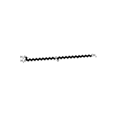 CCCCCCCCC=CCCCCCCCCCCCC(=O)OCCCCCCCCCCCCCCCCCC(C)CC